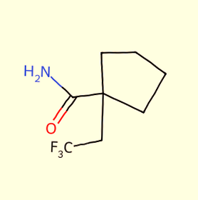 NC(=O)C1(CC(F)(F)F)CCCC1